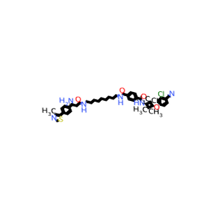 Cc1ncsc1-c1ccc([C@@H](N)CC(=O)NCCCCCCCCCNC(=O)c2ccc(C(=O)N[C@H]3C(C)(C)[C@H](Oc4ccc(C#N)c(Cl)c4)C3(C)C)cc2)cc1